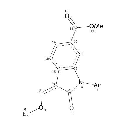 CCOC=C1C(=O)N(C(C)=O)c2cc(C(=O)OC)ccc21